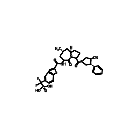 C[C@@H]1C[C@H]2CC[C@@H](C(=O)N3C[C@@H](C#N)[C@H](c4ccccc4)C3)N2C(=O)[C@@H](NC(=O)c2cc3cc(C(F)(F)P(=O)(O)O)ccc3s2)C1